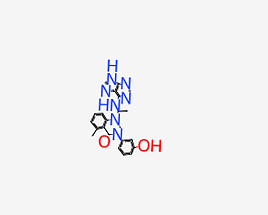 Cc1cccc2c1C(=O)N(c1cccc(O)c1)CN2C(C)Nc1ncnc2[nH]cnc12